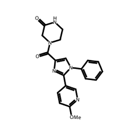 COc1ccc(-c2nc(C(=O)N3CCNC(=O)C3)cn2-c2ccccc2)cn1